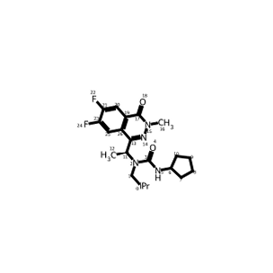 CC(C)CN(C(=O)NC1CCCC1)[C@@H](C)c1nn(C)c(=O)c2cc(F)c(F)cc12